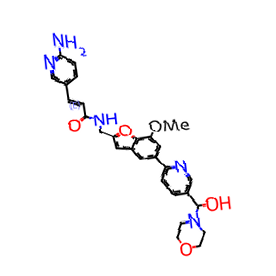 COc1cc(-c2ccc(C(O)N3CCOCC3)cn2)cc2cc(CNC(=O)/C=C/c3ccc(N)nc3)oc12